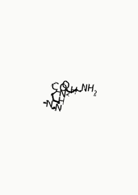 Cn1cncc1CC(NC(=O)CCCN)C(=O)O